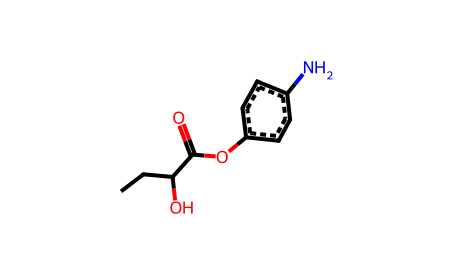 CCC(O)C(=O)Oc1ccc(N)cc1